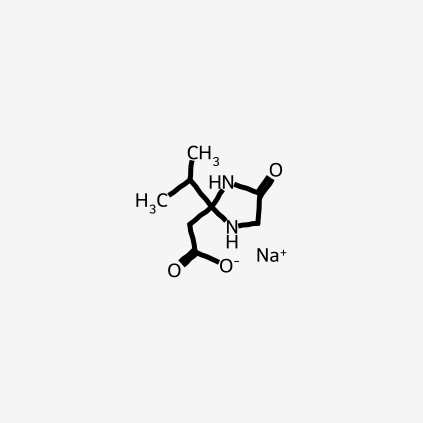 CC(C)C1(CC(=O)[O-])NCC(=O)N1.[Na+]